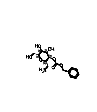 NC[C@@H]1O[C@H](CO)[C@@H](O)[C@H](O)[C@H]1OC(=O)OCc1ccccc1